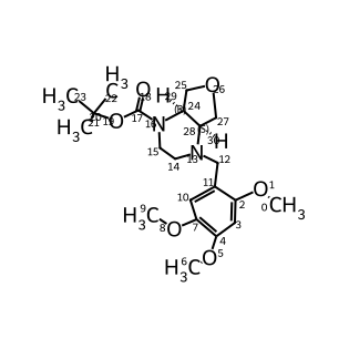 COc1cc(OC)c(OC)cc1CN1CCN(C(=O)OC(C)(C)C)[C@H]2COC[C@H]21